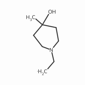 [CH2]CN1CCC(C)(O)CC1